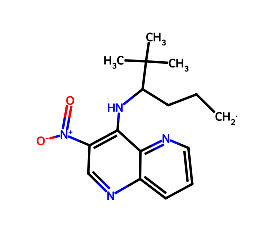 [CH2]CCC(Nc1c([N+](=O)[O-])cnc2cccnc12)C(C)(C)C